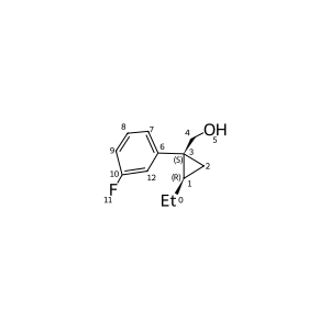 CC[C@@H]1C[C@@]1(CO)c1cccc(F)c1